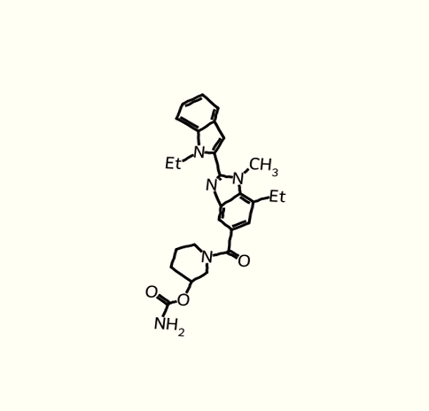 CCc1cc(C(=O)N2CCCC(OC(N)=O)C2)cc2nc(-c3cc4ccccc4n3CC)n(C)c12